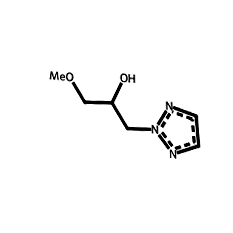 COCC(O)Cn1nccn1